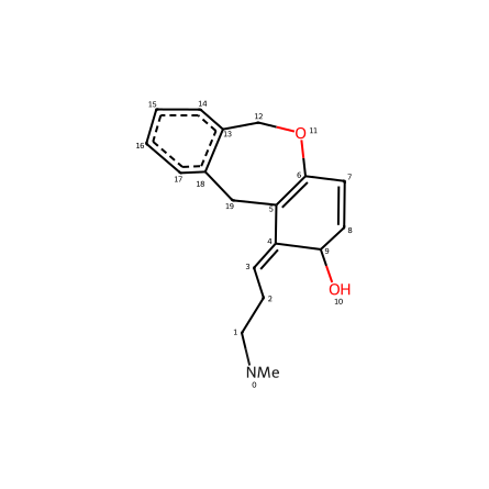 CNCCC=C1C2=C(C=CC1O)OCc1ccccc1C2